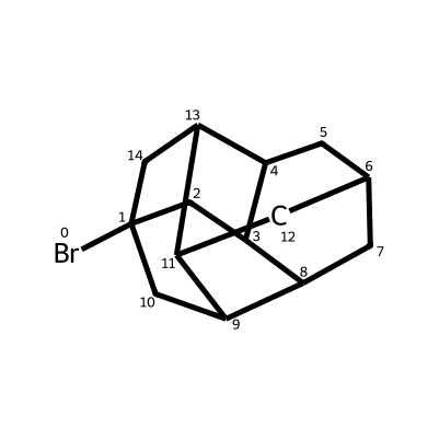 BrC12CC3C4CC5CC3C(C1)C(C5)C4C2